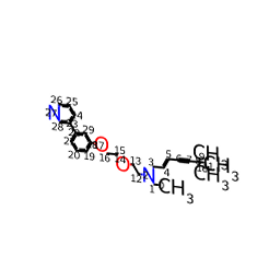 CCN(C/C=C/C#CC(C)(C)C)CCOCCOc1cccc(-c2cccnc2)c1